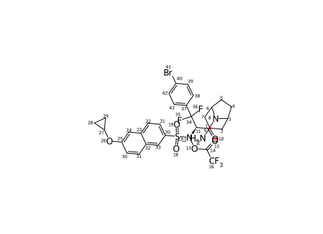 NC1CC2CCC(C1)N2C(=O)[C@@H](N(OC(=O)C(F)(F)F)S(=O)(=O)c1ccc2cc(OC3CC3)ccc2c1)C(F)(F)c1ccc(Br)cc1